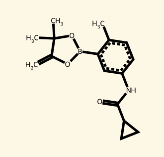 C=C1OB(c2cc(NC(=O)C3CC3)ccc2C)OC1(C)C